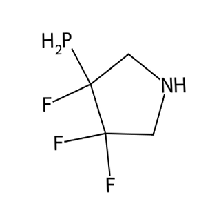 FC1(F)CNCC1(F)P